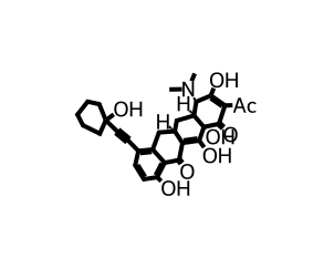 CC(=O)C1=C(O)[C@@H](N(C)C)[C@@H]2C[C@@H]3Cc4c(C#CC5(O)CCCCC5)ccc(O)c4C(=O)C3=C(O)[C@]2(O)C1=O